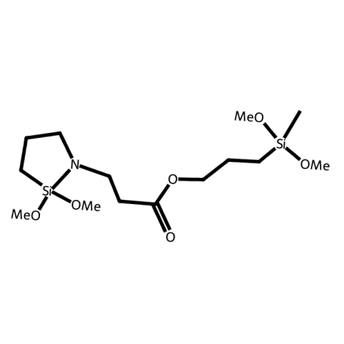 CO[Si](C)(CCCOC(=O)CCN1CCC[Si]1(OC)OC)OC